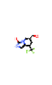 O=Cc1cc(C(F)(F)F)c2c[nH]c(=O)n2c1